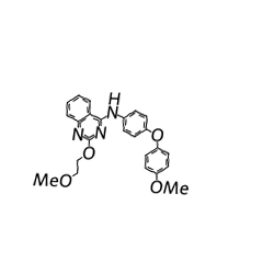 COCCOc1nc(Nc2ccc(Oc3ccc(OC)cc3)cc2)c2ccccc2n1